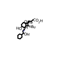 CCCCC1C(=CCCC(=O)O)[C@@]2(OC)CC[C@@H](O)[C@H](/C=C/C(O)C3CCCCC3)[C@@H]12